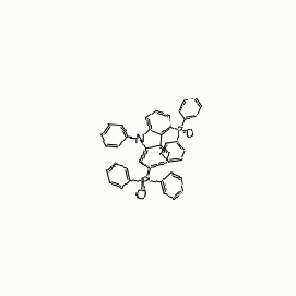 O=P(c1ccccc1)(c1ccccc1)c1ccc2c3c(P(=O)(c4ccccc4)c4ccccc4)cccc3n(-c3ccccc3)c2c1